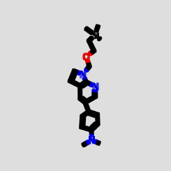 CN(C)c1ccc(-c2cnc3c(ccn3COCC[Si](C)(C)C)c2)cc1